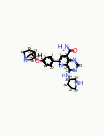 NC(=O)c1cc(-c2ccc(O[C@H]3CN4CCC3CC4)cc2)nc2c(N[C@H]3CCCNC3)ncnc12